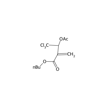 C=C(C(=O)OCCCC)C(OC(C)=O)C(Cl)(Cl)Cl